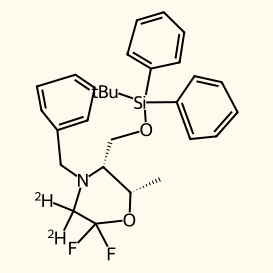 [2H]C1([2H])N(Cc2ccccc2)[C@H](CO[Si](c2ccccc2)(c2ccccc2)C(C)(C)C)[C@H](C)OC1(F)F